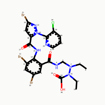 CCN(CNC(=O)c1cc(Br)cc(Br)c1NC(=O)c1cc(Br)nn1-c1ncccc1Cl)N(CC)C(=O)O